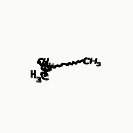 CCCCCCCCCCCCCC[n+]1cc(CC)cc(CC)c1